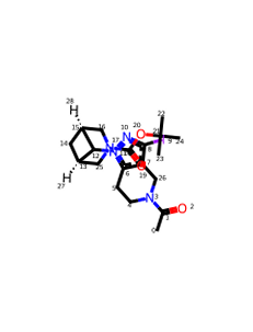 CC(=O)N1CCc2c(c(I)nn2C2[C@@H]3C[C@H]2CN(C(=O)OC(C)(C)C)C3)C1